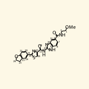 COCCNC(=O)c1ccc2[nH]c(NC(=O)c3csc(-c4ccc5c(c4)CCO5)n3)nc2c1